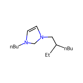 CCCCC(CC)CN1C=CN(CCCC)C1